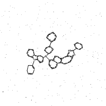 C1=CCCC(n2c3ccccc3c3cc(N(c4ccc(-c5ccccc5)cc4)c4cccc5c4ccc4c5ccc5sc(-c6ccccc6)nc54)ccc32)=C1